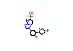 CC(C)(O)c1ccn2c(-c3ccc(F)c(-c4ccc(F)cn4)c3)cnc2n1